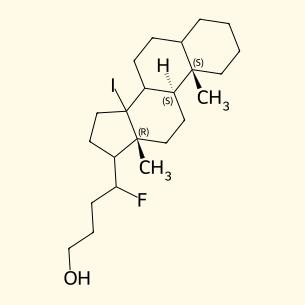 C[C@]12CCCCC1CCC1[C@@H]2CC[C@]2(C)C(C(F)CCCO)CCC12I